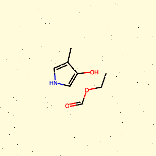 CCOC=O.Cc1c[nH]cc1O